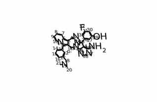 C[C@H](c1c(C#N)c2ccccn2c1-c1cccc(CN(C)C)c1)n1nc(-c2cc(O)cc(F)c2)c2c(N)ncnc21